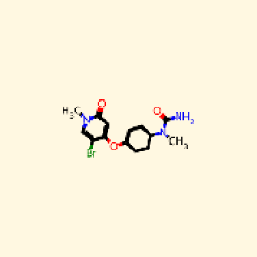 CN(C(N)=O)C1CCC(Oc2cc(=O)n(C)cc2Br)CC1